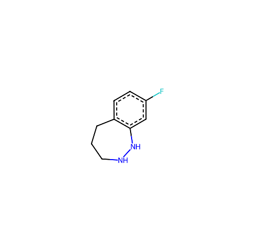 Fc1ccc2c(c1)NNCCC2